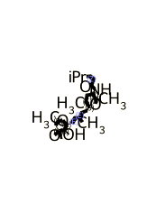 CC(/C=C/[C@H]1O[C@@H](C)C[C@@]2(CO2)[C@@H]1O)=C\C[C@@H]1O[C@H](C)[C@H](NC(=O)/C=C\C(C)C)C[C@@H]1C